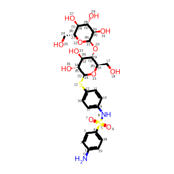 Nc1ccc(S(=O)(=O)Nc2ccc(S[C@@H]3O[C@H](CO)[C@@H](O[C@H]4O[C@H](CO)[C@@H](O)[C@H](O)[C@H]4O)[C@H](O)[C@H]3O)cc2)cc1